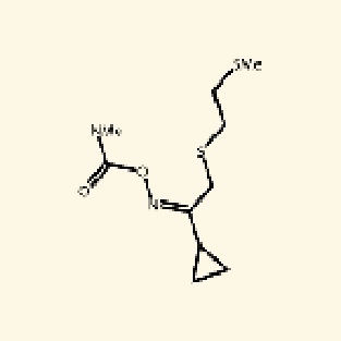 CNC(=O)ON=C(CSCCSC)C1CC1